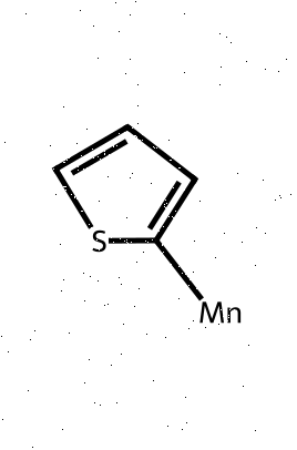 [Mn][c]1cccs1